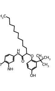 CCCCCCCCCCC(Oc1ccc(O)cc1C(C)(C)C)C(=O)Nc1ccc(Cl)c([NH])c1